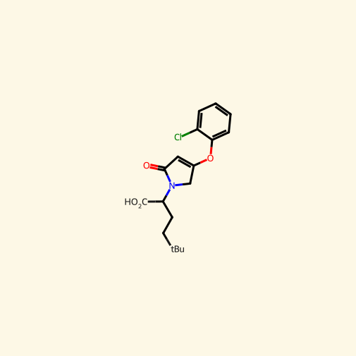 CC(C)(C)CCC(C(=O)O)N1CC(Oc2ccccc2Cl)=CC1=O